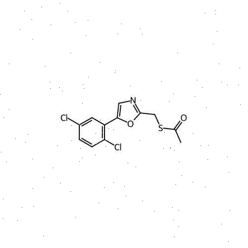 CC(=O)SCc1ncc(-c2cc(Cl)ccc2Cl)o1